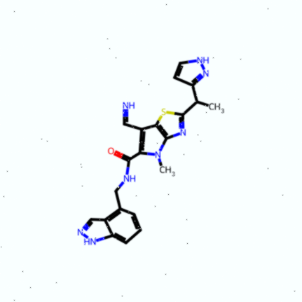 CC(c1cc[nH]n1)c1nc2c(s1)c(C=N)c(C(=O)NCc1cccc3[nH]ncc13)n2C